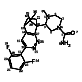 CN1CCN(C(N)=O)CC1C12CCC(c3cc(-c4c(F)cccc4F)nnc31)C2(C)C